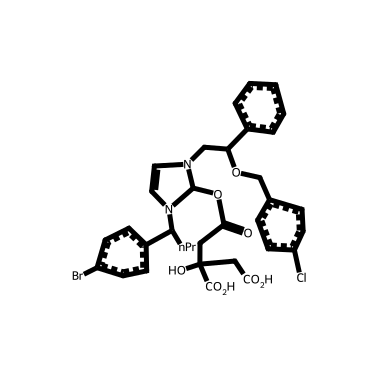 CCCC(c1ccc(Br)cc1)N1C=CN(CC(OCc2ccc(Cl)cc2)c2ccccc2)C1OC(=O)CC(O)(CC(=O)O)C(=O)O